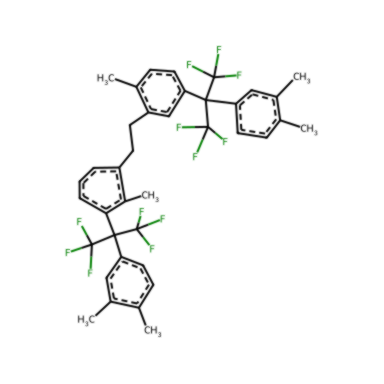 Cc1ccc(C(c2ccc(C)c(CCc3cccc(C(c4ccc(C)c(C)c4)(C(F)(F)F)C(F)(F)F)c3C)c2)(C(F)(F)F)C(F)(F)F)cc1C